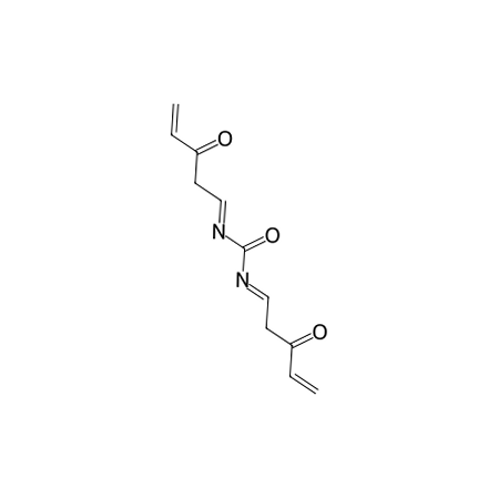 C=CC(=O)CC=NC(=O)N=CCC(=O)C=C